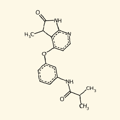 CC(C)C(=O)Nc1cccc(Oc2ccnc3c2C(C)C(=O)N3)c1